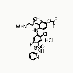 CNCCN(C)c1cc(OC(F)F)ccc1Nc1cc(F)c(S(=O)(=O)Nc2ccccn2)cc1Cl.Cl